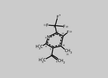 C=C(C)c1c(C)nc(C(F)(F)F)c(F)c1C